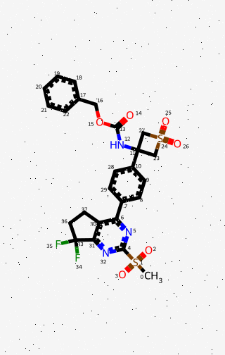 CS(=O)(=O)c1nc(-c2ccc(C3(NC(=O)OCc4ccccc4)CS(=O)(=O)C3)cc2)c2c(n1)C(F)(F)CC2